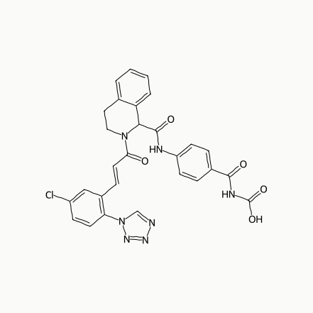 O=C(O)NC(=O)c1ccc(NC(=O)C2c3ccccc3CCN2C(=O)/C=C/c2cc(Cl)ccc2-n2cnnn2)cc1